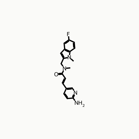 CN(Cc1cc2cc(F)ccc2n1C)C(=O)C=Cc1ccc(N)nc1